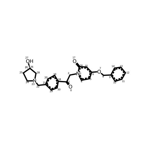 O=C(Cn1ccc(OCc2ccccc2)cc1=O)c1ccc(CN2CC[C@@H](O)C2)cc1